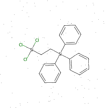 Cl[Si](Cl)(Cl)CC[Si](c1ccccc1)(c1ccccc1)c1ccccc1